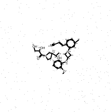 COc1ccc([C@@H]2CN(C(=O)C(O)CO)C[C@@]2(C)C(C)O)cc1OC1CN(c2cc(C)ccc2C=CC#N)C1